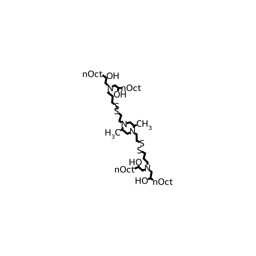 CCCCCCCCC(O)CN(CCCSSCCN1CC(C)N(CCSSCCCN(CC(O)CCCCCCCC)CC(O)CCCCCCCC)CC1C)CC(O)CCCCCCCC